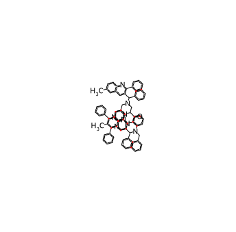 Cc1ccc2nc(-c3ccccc3)c(C(c3ccccc3)N(Cc3ccccc3)CC(C(=O)C(CN(Cc3ccccc3)C(c3ccccc3)c3cc4cc(C)ccc4nc3-c3ccccc3)N3CCN(Cc4ccccc4)CC3)N3CCN(Cc4ccccc4)CC3)cc2c1